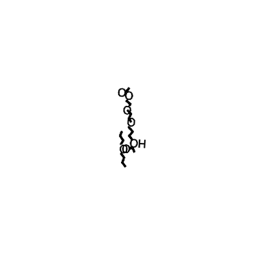 CC(=O)O.CCCCOCCCC.CCCCOCCOCCOC(C)=O